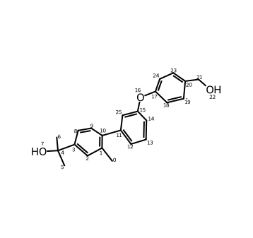 Cc1cc(C(C)(C)O)ccc1-c1cccc(Oc2c[c]c(CO)cc2)c1